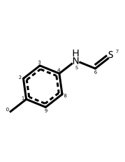 Cc1ccc(NC=S)cc1